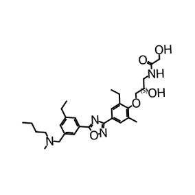 CCCCN(C)Cc1cc(CC)cc(-c2nc(-c3cc(C)c(OC[C@@H](O)CNC(=O)CO)c(CC)c3)no2)c1